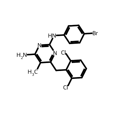 Cc1c(N)nc(Nc2ccc(Br)cc2)nc1Cc1c(Cl)cccc1Cl